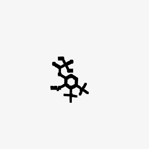 CCOC(=O)c1c(OC(=O)P(=O)(O)O)ccc([Si](C)(C)C)c1[Si](C)(C)C